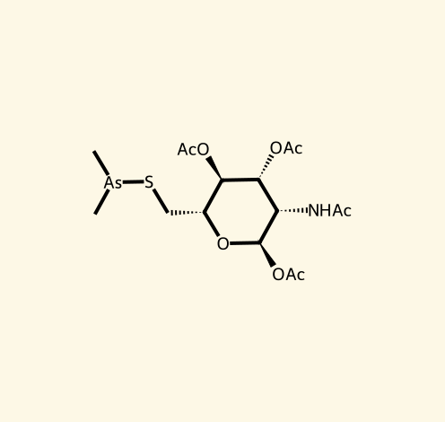 CC(=O)N[C@@H]1[C@@H](OC(C)=O)O[C@H](CS[As](C)C)[C@@H](OC(C)=O)[C@@H]1OC(C)=O